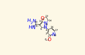 COc1cc(N2CC(C(=N)N)=C3OCCN32)ccn1